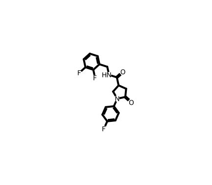 O=C(NCc1cccc(F)c1F)C1CC(=O)N(c2ccc(F)cc2)C1